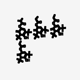 C=C1C(OC(=O)C(C)C)=CC(C(C)(C)C)=C(O)C1C(C)(C)C.C=C1C(OC(=O)CC)=CC(C(C)(C)C)=C(O)C1C(C)(C)C.C=C1C(OC(=O)CC)=CC(C(C)(C)C)=C(O)C1C(C)(C)C.C=C1C(OC(=O)CC)=CC(C(C)(C)C)=C(O)C1C(C)(C)C